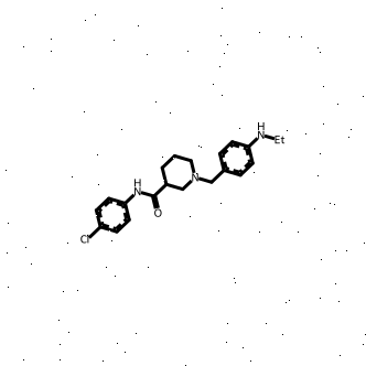 CCNc1ccc(CN2CCCC(C(=O)Nc3ccc(Cl)cc3)C2)cc1